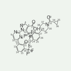 O=C(O)c1cnn(-c2nccc(-c3cccc(C(F)(F)F)c3OCc3ccc(C4CCN(C(=O)C5CC5)CC4)cc3)n2)c1C(F)(F)F